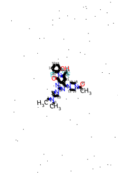 CCN(CC)C1CN(c2nc(N3CCN(C(C)=O)CC3)c3cc(C(F)(F)F)n(C4=C(F)C=CC[C@H]4O)c(=O)c3n2)C1